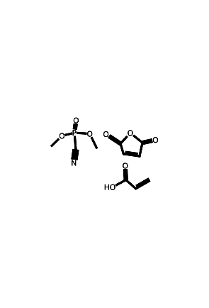 C=CC(=O)O.COP(=O)(C#N)OC.O=C1C=CC(=O)O1